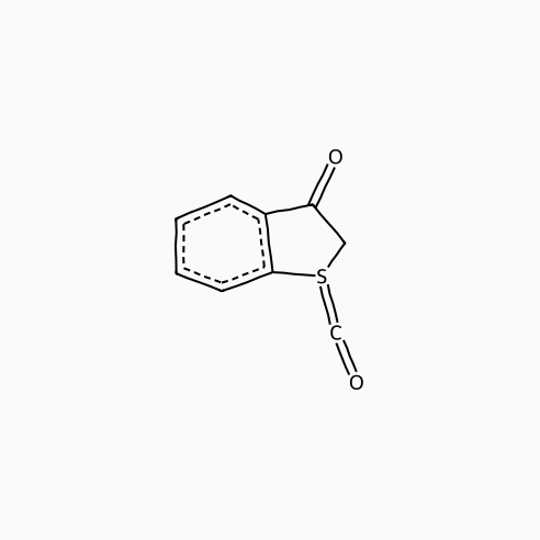 O=C=S1CC(=O)c2ccccc21